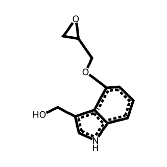 OCc1c[nH]c2cccc(OCC3CO3)c12